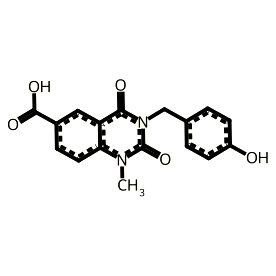 Cn1c(=O)n(Cc2ccc(O)cc2)c(=O)c2cc(C(=O)O)ccc21